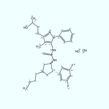 COCCN1C[C@@H](NC(=O)Nc2c(C)c(OCC(C)O)nn2-c2ccccc2)[C@H](c2cc(F)cc(F)c2)C1.Cl.Cl